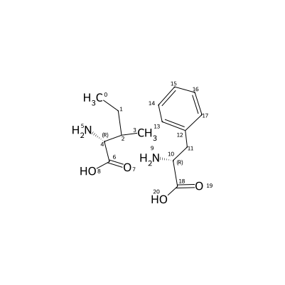 CCC(C)[C@@H](N)C(=O)O.N[C@H](Cc1ccccc1)C(=O)O